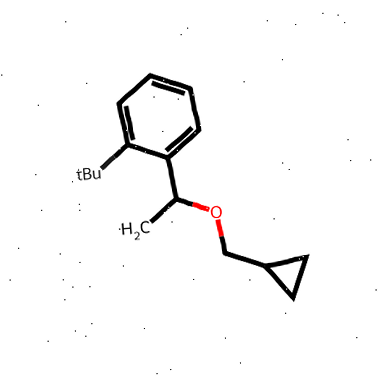 [CH2]C(OCC1CC1)c1ccccc1C(C)(C)C